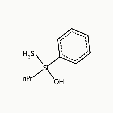 CCC[Si](O)([SiH3])c1ccccc1